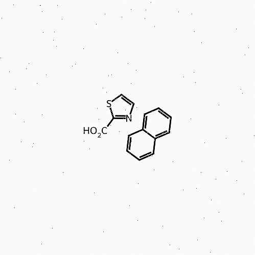 O=C(O)c1nccs1.c1ccc2ccccc2c1